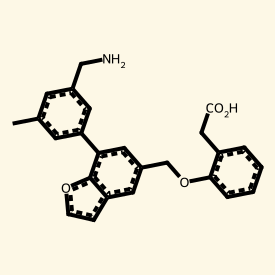 Cc1cc(CN)cc(-c2cc(COc3ccccc3CC(=O)O)cc3ccoc23)c1